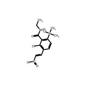 CCNC(=O)c1c([Si](C)(C)C)ccc(C=C[N+](=O)[O-])c1Cl